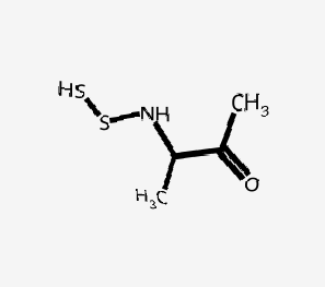 CC(=O)C(C)NSS